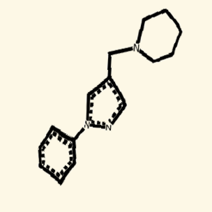 c1ccc(-n2cc(CN3CCCCC3)cn2)cc1